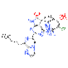 CCCCc1nc(-c2nc(N)c3c(n2)NC(=O)C3(C)c2cc(O)c(Cl)cn2)cn2ccnc12